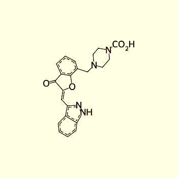 O=C1/C(=C/c2n[nH]c3ccccc23)Oc2c(CN3CCN(C(=O)O)CC3)cccc21